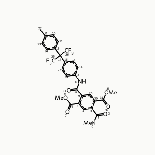 CNC(=O)c1cc(C(=O)OC)c(C(=O)Nc2ccc(C(c3ccc(C)cc3)(C(F)(F)F)C(F)(F)F)cc2)cc1C(=O)OC